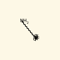 NCCCCCCCCCCCCCCCS(=O)(=O)C(F)(F)F